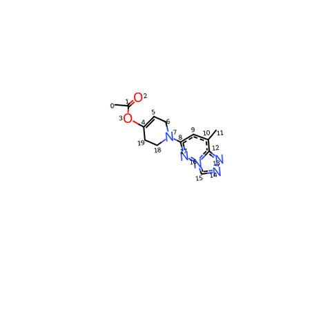 CC(=O)OC1=CCN(c2cc(C)c3nncn3n2)CC1